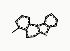 Cc1cccc2c1ccc1nc3ccccc3n12